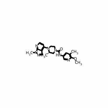 COc1ncc(NC(=O)N2CCN(c3ccnc4c3cnn4C)[C@@H](C)C2)cc1C